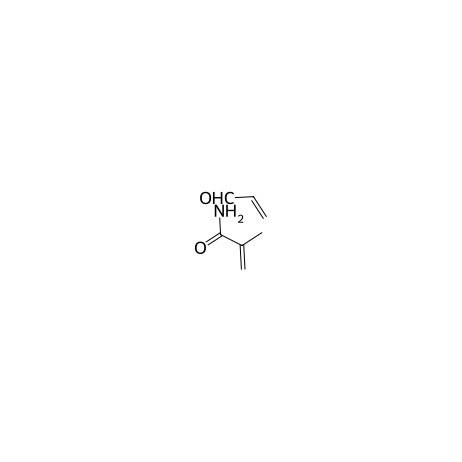 C=C(C)C(N)=O.C=CC=O